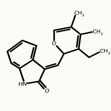 CCC1=C(C)C(C)=COC1C=C1C(=O)Nc2ccccc21